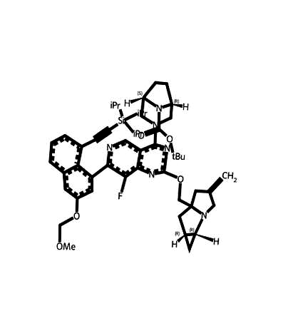 C=C1CN2[C@@H]3C[C@@H]3CC2(COc2nc(N3C[C@H]4CC[C@@H](C3)N4C(=O)OC(C)(C)C)c3cnc(-c4cc(OCOC)cc5cccc(C#C[Si](C(C)C)(C(C)C)C(C)C)c45)c(F)c3n2)C1